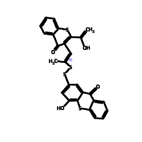 C=C(O)c1sc2ccccc2c(=O)c1/C=C(\C)SSc1cc(O)c2sc3ccccc3c(=O)c2c1